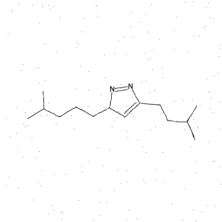 CC(C)CCCC1C=C(CCC(C)C)N=N1